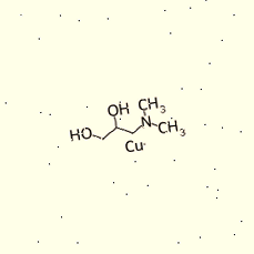 CN(C)CC(O)CO.[Cu]